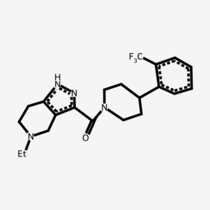 CCN1CCc2[nH]nc(C(=O)N3CCC(c4ccccc4C(F)(F)F)CC3)c2C1